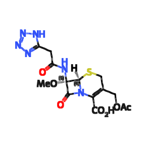 CO[C@@]1(NC(=O)Cc2nnn[nH]2)C(=O)N2C(C(=O)O)=C(COC(C)=O)CS[C@@H]21